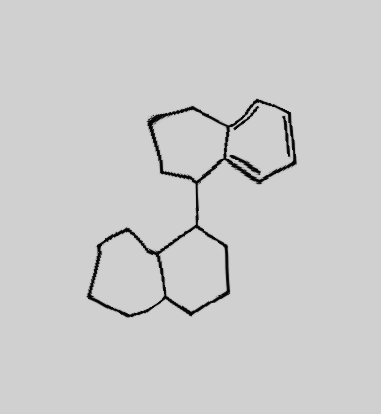 c1ccc2c(c1)CCCC2C1CCCC2CCCCC21